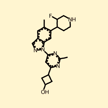 Cc1nc(C2CC(O)C2)cc(-n2ncc3cc(C)c(C4CCNCC4F)cc32)n1